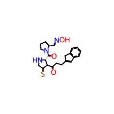 O=C(CCC1=Cc2ccccc2C1)C1C(=S)CN[C@@H]1C(=O)N1CCC[C@H]1C=NO